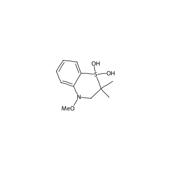 [CH2]ON1CC(C)(C)S(O)(O)c2ccccc21